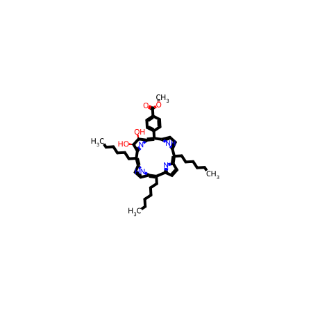 CCCCCCc1c2nc(c(CCCCCC)c3ccc([nH]3)c(-c3ccc(C(=O)OC)cc3)c3nc(c(CCCCCC)c4ccc1[nH]4)[C@@H](O)[C@H]3O)C=C2